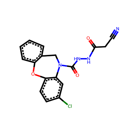 N#CCC(=O)NNC(=O)N1Cc2ccccc2Oc2ccc(Cl)cc21